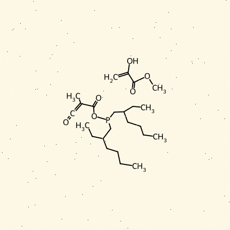 C=C(O)C(=O)OC.CCCCC(CC)CP(CC(CC)CCCC)OC(=O)C(C)=C=O